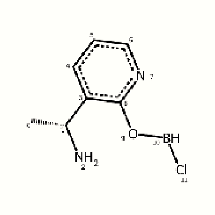 C[C@@H](N)c1cccnc1OBCl